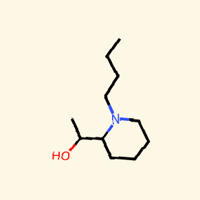 CCCCN1CCCCC1C(C)O